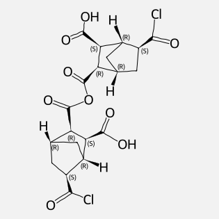 O=C(OC(=O)[C@@H]1[C@@H]2C[C@H]([C@@H]1C(=O)O)[C@@H](C(=O)Cl)C2)[C@@H]1[C@@H]2C[C@H]([C@@H]1C(=O)O)[C@@H](C(=O)Cl)C2